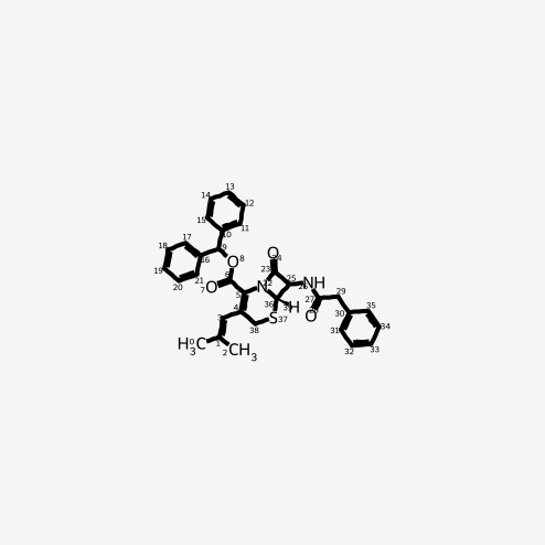 CC(C)=CC1=C(C(=O)OC(c2ccccc2)c2ccccc2)N2C(=O)C(NC(=O)Cc3ccccc3)[C@@H]2SC1